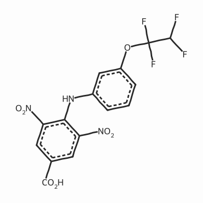 O=C(O)c1cc([N+](=O)[O-])c(Nc2cccc(OC(F)(F)C(F)F)c2)c([N+](=O)[O-])c1